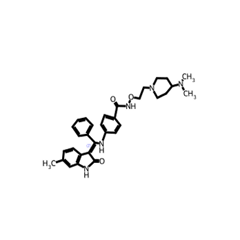 Cc1ccc2c(c1)NC(=O)/C2=C(\Nc1ccc(C(=O)NOCCN2CCC(N(C)C)CC2)cc1)c1ccccc1